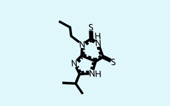 CCCn1c(=S)[nH]c(=S)c2[nH]c(C(C)C)nc21